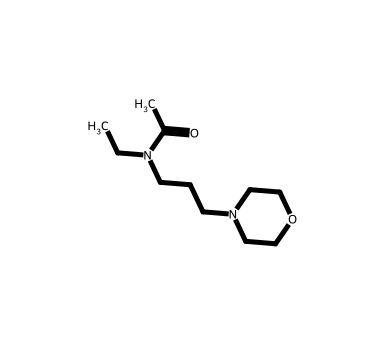 CCN(CCCN1CCOCC1)C(C)=O